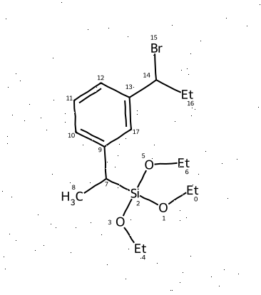 CCO[Si](OCC)(OCC)C(C)c1cccc(C(Br)CC)c1